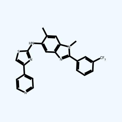 Cc1cc2c(cc1Nc1nc(-c3ccncc3)cs1)nc(-c1cccc(C(F)(F)F)c1)n2C